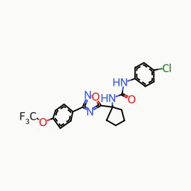 O=C(Nc1ccc(Cl)cc1)NC1(c2nc(-c3ccc(OC(F)(F)F)cc3)no2)CCCC1